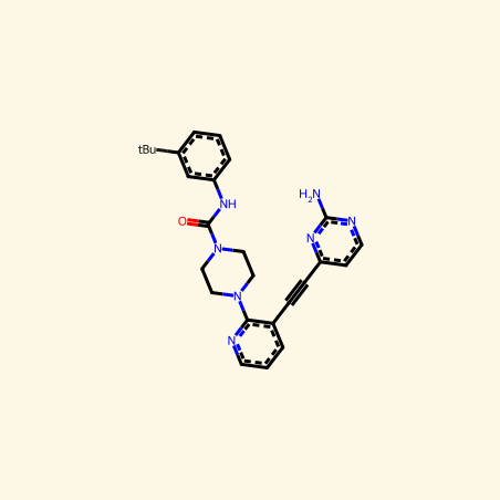 CC(C)(C)c1cccc(NC(=O)N2CCN(c3ncccc3C#Cc3ccnc(N)n3)CC2)c1